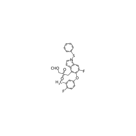 Cc1cc(Oc2c(F)cc3c(ccn3Sc3ccccc3)c2CS(=O)(=O)CC=O)ccc1F